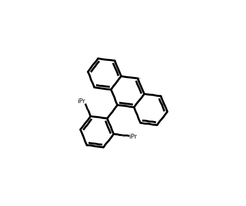 CC(C)c1cccc(C(C)C)c1-c1c2ccccc2[c]c2ccccc12